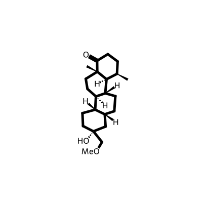 COC[C@@]1(O)CC[C@H]2[C@H](CC[C@@H]3[C@@H]2CC[C@]2(C)C(=O)CC[C@@H](C)[C@@H]32)C1